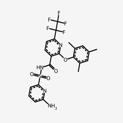 Cc1cc(C)c(Oc2nc(C(F)(F)C(F)(F)F)ccc2C(=O)NS(=O)(=O)c2cccc(N)n2)c(C)c1